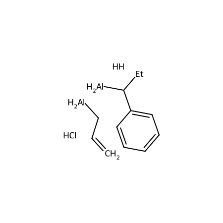 C=C[CH2][AlH2].CC[CH]([AlH2])c1ccccc1.Cl.[HH]